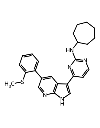 CSc1ccccc1-c1cnc2[nH]cc(-c3ccnc(NC4CCCCCC4)n3)c2c1